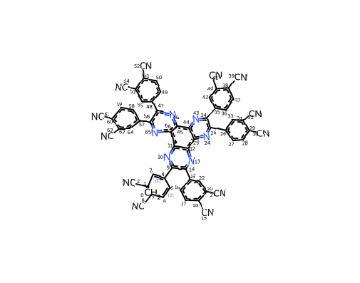 C=C(C#N)/C=C(\C=C/CC#N)c1nc2c(nc1-c1ccc(C#N)c(C#N)c1)c1nc(-c3ccc(C#N)c(C#N)c3)c(-c3ccc(C#N)c(C#N)c3)nc1c1nc(-c3ccc(C#N)c(C#N)c3)c(-c3ccc(C#N)c(C#N)c3)nc21